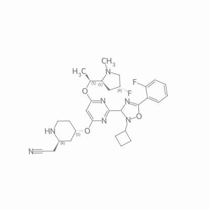 C[C@H](Oc1cc(O[C@H]2CCN[C@H](CC#N)C2)nc(C2N=C(c3ccccc3F)ON2C2CCC2)n1)[C@@H]1C[C@@H](F)CN1C